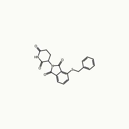 O=C1CCC(N2C(=O)c3cccc(SCc4ccccc4)c3C2=O)C(=O)N1